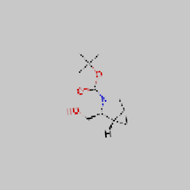 CC(C)(C)OC(=O)N1CC2C[C@@H]2[C@H]1CO